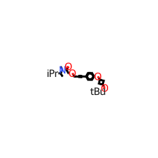 CC(C)C(C)N(C)C(=O)COCC#Cc1ccc(OC2CC(OC(C)(C)C)C2)cc1